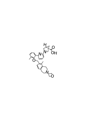 Cc1cccc(-c2cccc(N3C[C@@H]4C[C@]4(C(=O)O)C3)n2)c1OCc1ccc2c(c1C)CCN(C1COC1)CC2